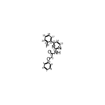 O=C(COc1ccccc1)Nc1nccc(-c2ccccc2F)n1